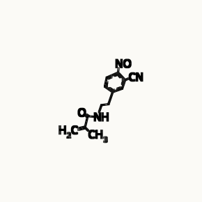 C=C(C)C(=O)NCCc1ccc(N=O)c(C#N)c1